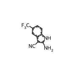 N#Cc1c(N)[nH]c2ccc(C(F)(F)F)cc12